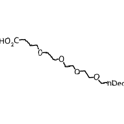 CCCCCCCCCCCOCCOCCOCCOCCCC(=O)O